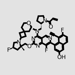 C#Cc1c(F)ccc2cc(O)cc(-c3ncc4c(N(C)C[C@@H]5CCCN5C(=O)C=C)nc(OC[C@]5(C)C[C@@H](F)CN5C5CC6(CCOCC6)C5)nc4c3F)c12